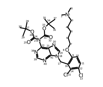 CN(C)C[CH]CCCOc1ccc(Cl)c(Cl)c1Cn1cnc2c(N(C(=O)OC(C)(C)C)C(=O)OC(C)(C)C)ncnc21